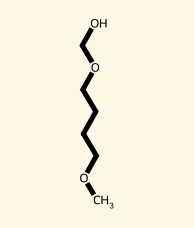 COCCCCOCO